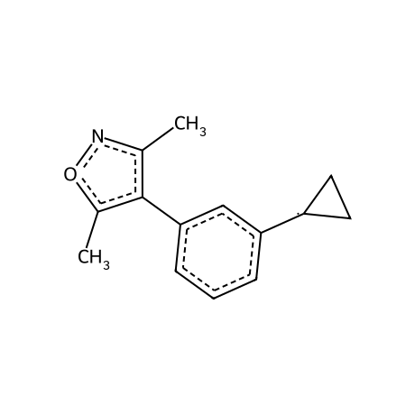 Cc1noc(C)c1-c1cccc([C]2CC2)c1